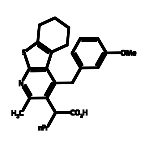 CCCC(C(=O)O)c1c(C)nc2sc3c(c2c1Cc1cccc(OC)c1)CCCC3